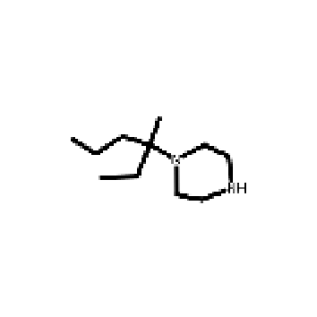 CCCC(C)(CC)N1CCNCC1